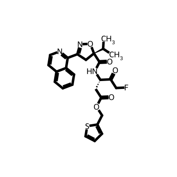 CC(C)[C@@]1(C(=O)N[C@@H](CC(=O)OCc2cccs2)C(=O)CF)CC(c2nccc3ccccc23)=NO1